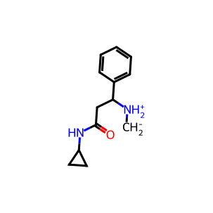 [CH2-][NH2+]C(CC(=O)NC1CC1)c1ccccc1